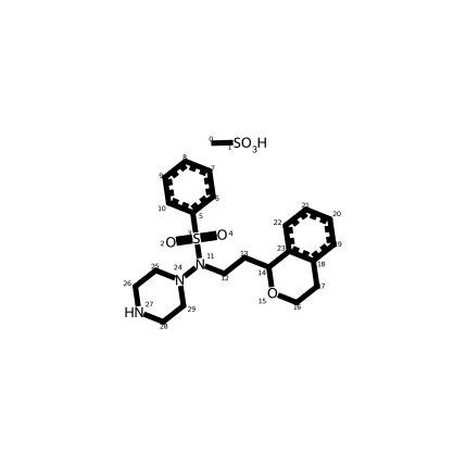 CS(=O)(=O)O.O=S(=O)(c1ccccc1)N(CCC1OCCc2ccccc21)N1CCNCC1